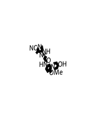 COc1ccc(NC(=O)CSc2nc3c(C)c(C#N)ncc3[nH]2)cc1N1CCC(O)CC1